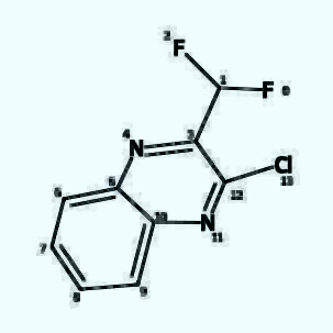 FC(F)c1nc2ccccc2nc1Cl